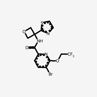 O=C(NC1(c2nccs2)COC1)c1ccc(Br)c(OCC(F)(F)F)n1